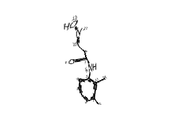 Cc1cccc(NC(=O)CC=NO)c1C